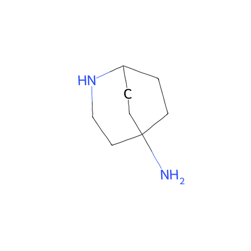 NC12CCNC(CC1)CC2